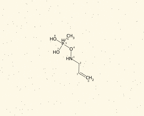 C=CCNO[PH](C)(O)O